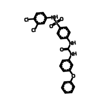 O=C(Nc1ccc(S(=O)(=O)Nc2ccc(Cl)c(Cl)c2)cc1)Nc1cccc(Oc2ccccc2)c1